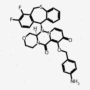 Nc1ccc(COc2c3n(ccc2=O)N([C@@H]2c4ccccc4SCc4c2ccc(F)c4F)[C@@H]2COCCN2C3=O)cc1